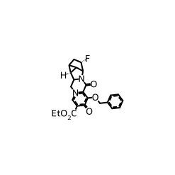 CCOC(=O)c1cn2c(c(OCc3ccccc3)c1=O)C(=O)N1C(C2)[C@H]2C3C[C@H](F)C1C32